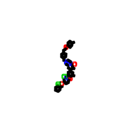 CC(C(=O)N1CCN(Cc2ccc(CCOc3ccc(C)cc3)cc2)CC1)=C(C)c1cc(C)c(Oc2ccc(OCc3ccccc3Cl)cn2)c(Cl)c1